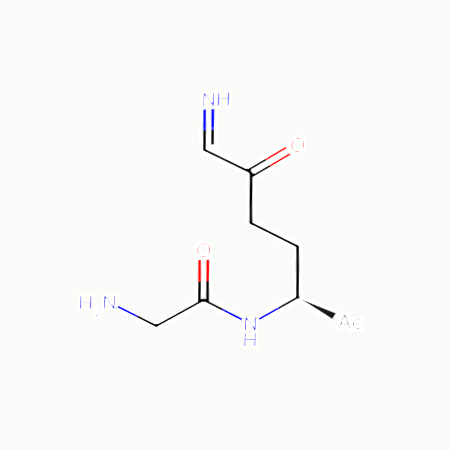 CC(=O)[C@H](CCC(=O)C=N)NC(=O)CN